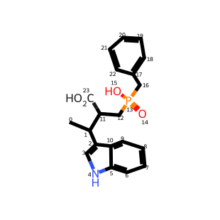 CC(c1c[nH]c2ccccc12)C(CP(=O)(O)Cc1ccccc1)C(=O)O